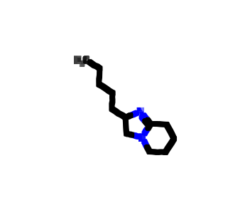 CCCCCC1CN2CCCCC2=N1